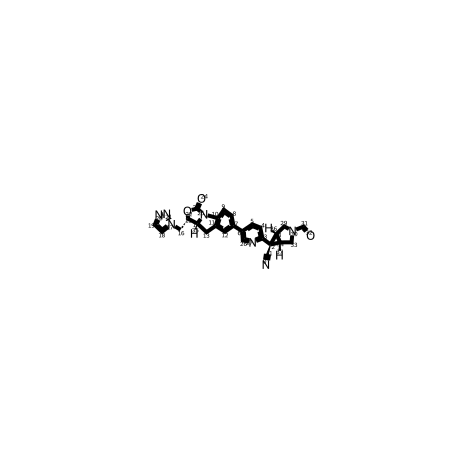 N#C[C@@]1(c2ccc(-c3ccc4c(c3)C[C@H]3[C@H](Cn5ccnn5)OC(=O)N43)cn2)[C@@H]2CN(C=O)C[C@@H]21